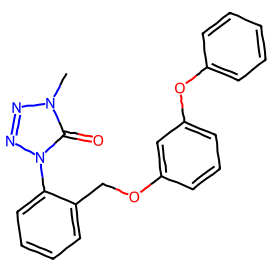 Cn1nnn(-c2ccccc2COc2cccc(Oc3ccccc3)c2)c1=O